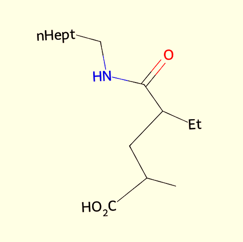 CCCCCCCCNC(=O)C(CC)CC(C)C(=O)O